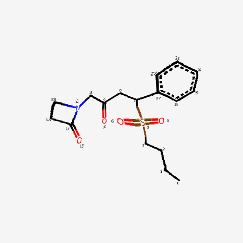 CCCCS(=O)(=O)C(CC(=O)CN1CCC1=O)c1ccccc1